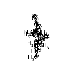 COCCNC(=O)c1ccc(C)c(-n2c(C)cc(OCc3ccccc3CNC(=O)Nc3cc(C(C)(C)C)nn3-c3cccc(OCCOC4CCCCO4)c3)c(Cl)c2=O)c1